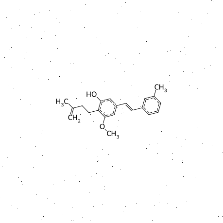 C=C(C)CCc1c(O)cc(C=Cc2cccc(C)c2)cc1OC